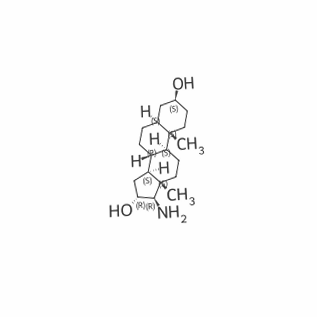 C[C@]12CC[C@H](O)C[C@@H]1CC[C@@H]1[C@@H]2CC[C@]2(C)[C@@H](N)[C@H](O)C[C@@H]12